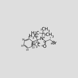 CC(C)(C)N(C(=O)CBr)C(C)(C)c1ccccc1